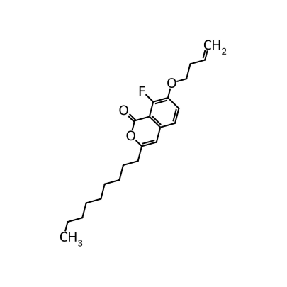 C=CCCOc1ccc2cc(CCCCCCCCC)oc(=O)c2c1F